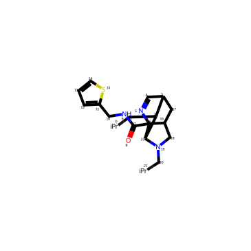 CC(C)CC1C2C=NC3(C(=O)NCc4cccs4)C(C2)CN(CC(C)C)C13